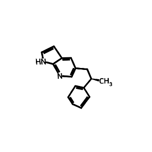 C[C@H](Cc1cnc2[nH]ccc2c1)c1ccccc1